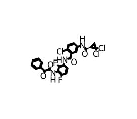 O=C(Nc1c(F)ccc(NC(=O)c2cc(NC(=O)[C@H]3CC3(Cl)Cl)ccc2Cl)c1F)C(=O)c1ccccc1